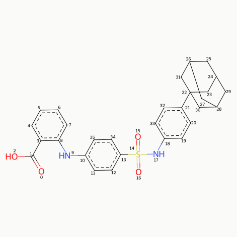 O=C(O)c1ccccc1Nc1ccc(S(=O)(=O)Nc2ccc(C34CC5CC(CC(C5)C3)C4)cc2)cc1